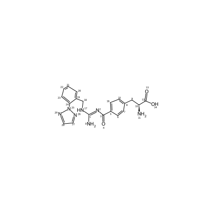 N/C(=N\C(=O)c1ccc(C[C@H](N)C(=O)O)cc1)NCc1ccccc1-n1nccn1